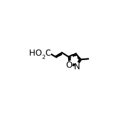 Cc1cc(/C=C/C(=O)O)on1